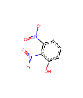 O=[N+]([O-])c1[c]ccc(O)c1[N+](=O)[O-]